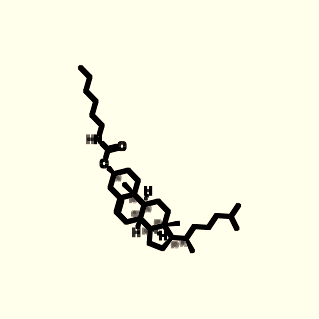 CCCCCCNC(=O)O[C@H]1CC[C@@]2(C)C(=CC[C@H]3[C@@H]4CC[C@H]([C@H](C)CCCC(C)C)[C@@]4(C)CC[C@@H]32)C1